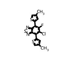 Cc1csc(-c2c(F)c(Cl)c(-c3cc(C)cs3)c3nsnc23)c1